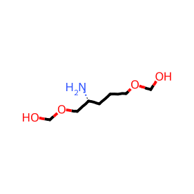 N[C@H](CCCOCO)COCO